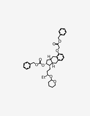 CC[C@@H](CC[C@@H]1[C@H]2Cc3cccc(OCC(=O)OCc4ccccc4)c3C[C@H]2C[C@H]1OC(=O)OCc1ccccc1)OC1CCCCO1